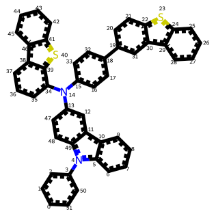 c1ccc(-n2c3ccccc3c3cc(N(c4ccc(-c5ccc6sc7ccccc7c6c5)cc4)c4cccc5c4sc4ccccc45)ccc32)cc1